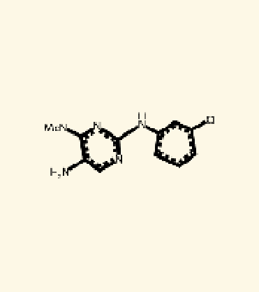 CNc1nc(Nc2cccc(Cl)c2)ncc1N